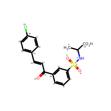 CC(NS(=O)(=O)c1cccc(C(=O)C=Cc2ccc(Cl)cc2)c1)C(=O)O